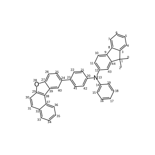 CC1(C)c2ccccc2-c2ccc(N(c3ccccc3)c3ccc(-c4ccc5oc6ccc7ccccc7c6c5c4)cc3)cc21